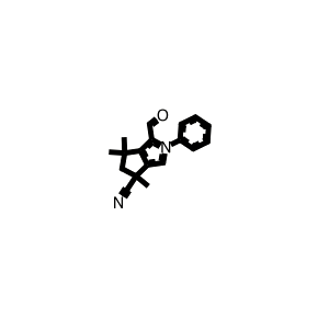 CC1(C)CC(C)(C#N)c2cn(-c3ccccc3)c(C=O)c21